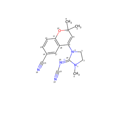 CN1CCN(C2=CC(C)(C)Oc3ccc(C#N)cc32)/C1=N/C#N